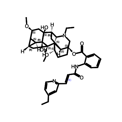 CCc1ccnc(/C=C/C(=O)Nc2ccccc2C(=O)O[C@@]23CC[C@H](OC)[C@]45C([C@@H](C[C@H]24)[C@@]2(O)C[C@H](OC)C4[C@H]6C[C@@H]5[C@]2(O)[C@H]46)N(CC)C3)c1